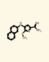 CSc1sc(C(=N)N)cc1Nc1ccc2ccccc2c1